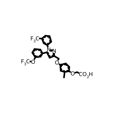 Cc1cc(OCc2cc(-c3cccc(OC(F)(F)F)c3)n(-c3cccc(C(F)(F)F)c3)n2)ccc1OCC(=O)O